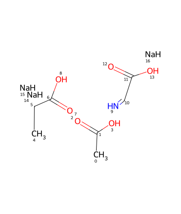 CC(=O)O.CCC(=O)O.N=CC(=O)O.[NaH].[NaH].[NaH]